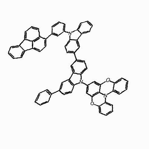 c1ccc(-c2ccc3c(c2)c2cc(-c4ccc5c(c4)c4ccccc4n5-c4cccc(-c5ccc6c7c(cccc57)-c5ccccc5-6)c4)ccc2n3-c2cc3c4c(c2)Oc2ccccc2N4c2ccccc2O3)cc1